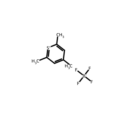 Cc1cc(C)[s+]c(C)c1.F[B-](F)(F)F